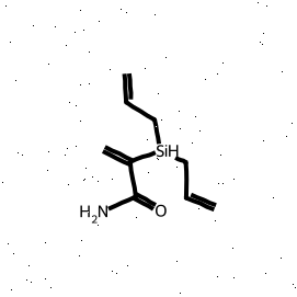 C=CC[SiH](CC=C)C(=C)C(N)=O